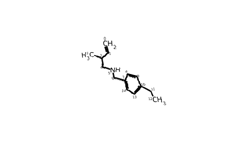 C=CC(C)CNCc1ccc(CC)cc1